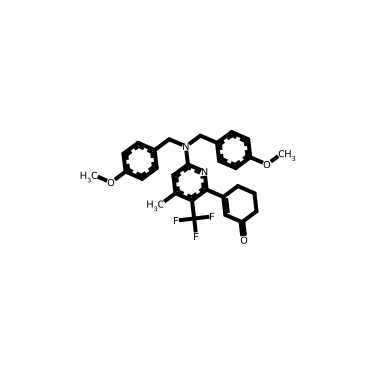 COc1ccc(CN(Cc2ccc(OC)cc2)c2cc(C)c(C(F)(F)F)c(C3=CC(=O)CCC3)n2)cc1